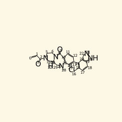 C=CC(=O)N1CCN2C(=O)c3ccc(-c4c(C)ccc5[nH]ncc45)c(Cl)c3N(C)C[C@H]2C1